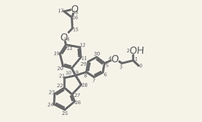 CC(O)COc1ccc(C2(c3ccc(OCC4CO4)cc3)Cc3ccccc3C2)cc1